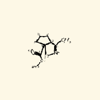 CC1=NOC2(C(=O)OC(C)C)CCCC12